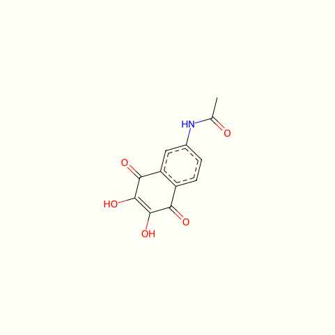 CC(=O)Nc1ccc2c(c1)C(=O)C(O)=C(O)C2=O